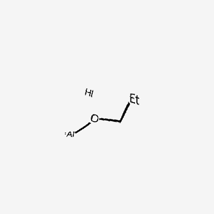 CCC[O][Al].I